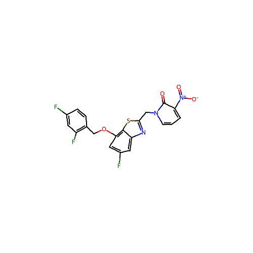 O=c1c([N+](=O)[O-])cccn1Cc1nc2cc(F)cc(OCc3ccc(F)cc3F)c2s1